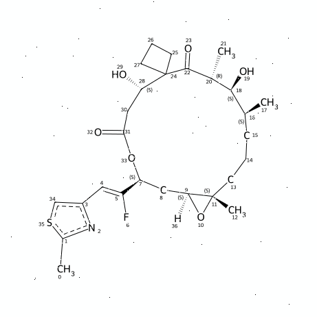 Cc1nc(C=C(F)[C@@H]2C[C@@H]3O[C@@]3(C)CCC[C@H](C)[C@H](O)[C@@H](C)C(=O)C3(CCC3)[C@@H](O)CC(=O)O2)cs1